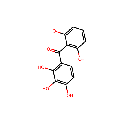 O=C(c1ccc(O)c(O)c1O)c1c(O)cccc1O